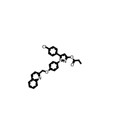 CCC(=O)Oc1cc(-c2ccc(Cl)cc2)n(-c2ccc(OCc3ccc4ccccc4n3)cc2)n1